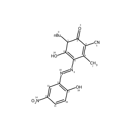 CCCCC1C(=O)C(C#N)=C(C)C(N=Nc2cc([N+](=O)[O-])ccc2O)=C1O